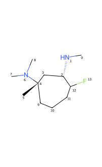 CN[C@H]1C[C@@](C)(N(C)C)CCCC1F